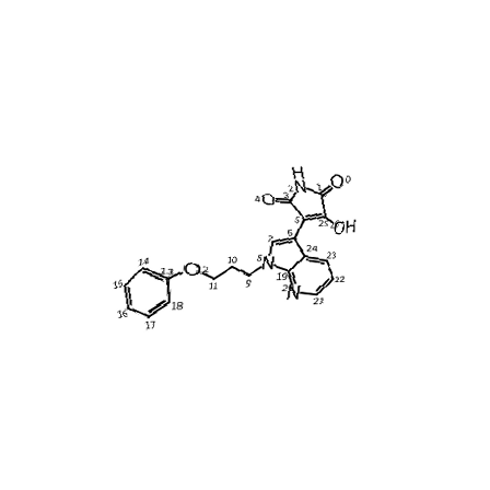 O=C1NC(=O)C(c2cn(CCCOc3ccccc3)c3ncccc23)=C1O